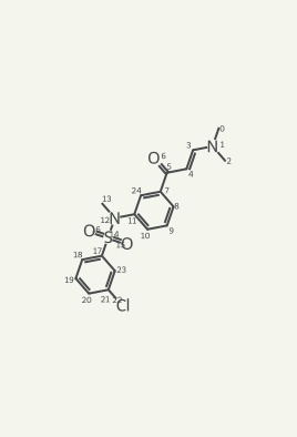 CN(C)C=CC(=O)c1cccc(N(C)S(=O)(=O)c2cccc(Cl)c2)c1